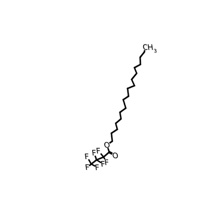 CCCCCCCCCCCCCCCCCCOC(=O)C(F)(F)C(F)(F)C(F)(F)F